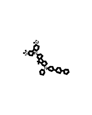 CC1(C)c2cc(N(c3ccccc3)c3ccc(-c4ccc(-c5ccccc5)cc4)cc3)ccc2-c2ccc(-n3c4ccc([Si](C)(C)C)cc4c4cc([Si](C)(C)C)ccc43)cc21